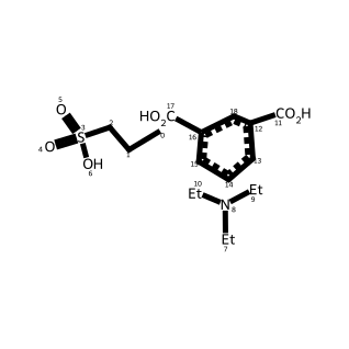 CCCS(=O)(=O)O.CCN(CC)CC.O=C(O)c1cccc(C(=O)O)c1